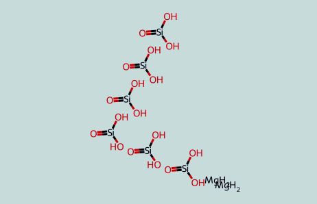 O=[Si](O)O.O=[Si](O)O.O=[Si](O)O.O=[Si](O)O.O=[Si](O)O.O=[Si](O)O.[MgH2].[MgH2]